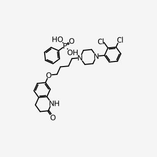 O=C1CCc2ccc(OCCCCN3CCN(c4cccc(Cl)c4Cl)CC3)cc2N1.O=P(O)(O)c1ccccc1